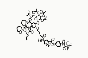 C=CCOC(=O)N1c2cc(OCCCC(=O)Nc3cc(C(=O)Nc4ccc(NC(=O)C(F)(F)F)cc4)n(C)c3)c(O[C@@H]3O[C@H](COC(C)=O)[C@@H](OC(C)=O)[C@H](OC(C)=O)[C@H]3OC(C)=O)cc2C(=O)N2CCCC[C@H]2C1OC1CCCCO1